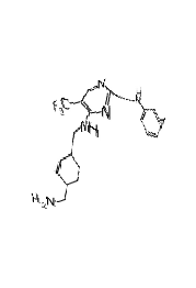 NCC1CCC(CNc2nc(Nc3ccccc3)ncc2C(F)(F)F)CC1